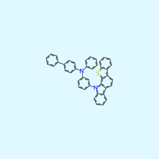 c1ccc(-c2ccc(N(c3ccccc3)c3cccc(-n4c5ccccc5c5ccc6c7ccccc7sc6c54)c3)cc2)cc1